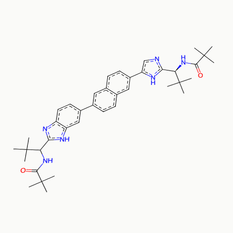 CC(C)(C)C(=O)NC(c1nc2ccc(-c3ccc4cc(-c5cnc([C@@H](NC(=O)C(C)(C)C)C(C)(C)C)[nH]5)ccc4c3)cc2[nH]1)C(C)(C)C